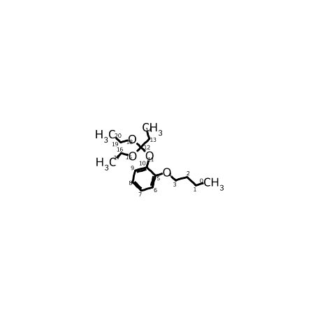 CCCCOc1ccccc1OC(CC)(OCC)OCC